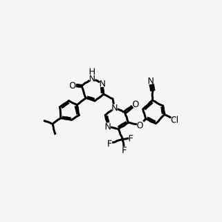 CC(C)c1ccc(-c2cc(Cn3cnc(C(F)(F)F)c(Oc4cc(Cl)cc(C#N)c4)c3=O)n[nH]c2=O)cc1